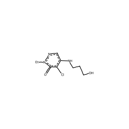 CCn1ncc(NCCCO)c(Cl)c1=O